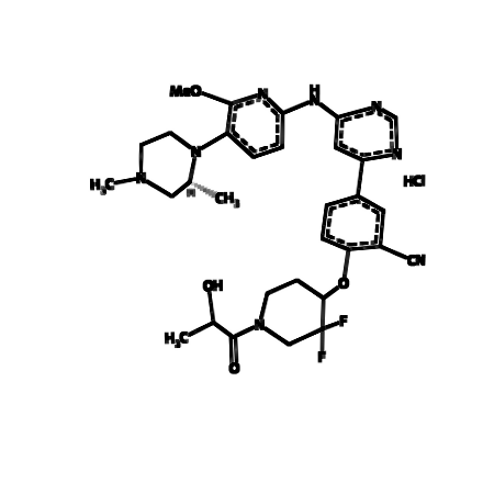 COc1nc(Nc2cc(-c3ccc(OC4CCN(C(=O)C(C)O)CC4(F)F)c(C#N)c3)ncn2)ccc1N1CCN(C)C[C@H]1C.Cl